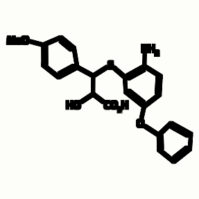 COc1ccc(C(Sc2cc(Oc3ccccc3)ccc2N)C(O)C(=O)O)cc1